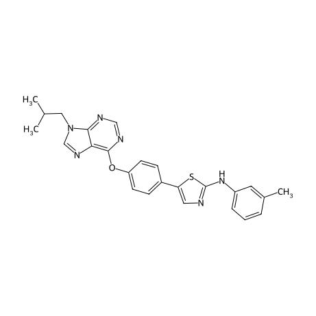 Cc1cccc(Nc2ncc(-c3ccc(Oc4ncnc5c4ncn5CC(C)C)cc3)s2)c1